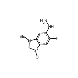 CCC(C)N1C[S+]([O-])c2cc(F)c(NN)cc21